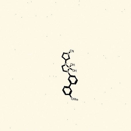 COc1cccc(-c2cccc(N3CCN(C4CCN(C#N)C4)S3(O)O)c2)c1